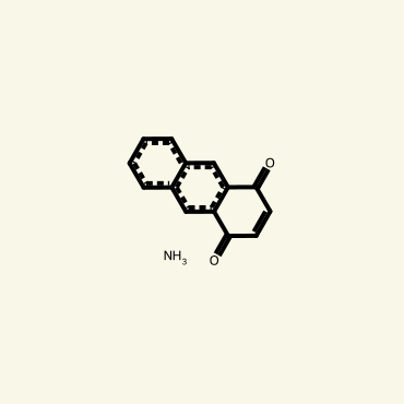 N.O=C1C=CC(=O)c2cc3ccccc3cc21